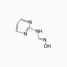 ON=CNc1ncccn1